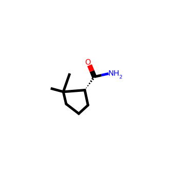 CC1(C)CCC[C@H]1C(N)=O